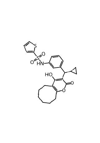 O=c1oc2c(c(O)c1C(c1cccc(NS(=O)(=O)c3cccs3)c1)C1CC1)CCCCCC2